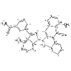 Cc1ccccc1-n1c(Cn2nc(-c3cccc(C(N)=O)c3)c3c(N)ncnc32)cc2cccc(C)c2c1=O